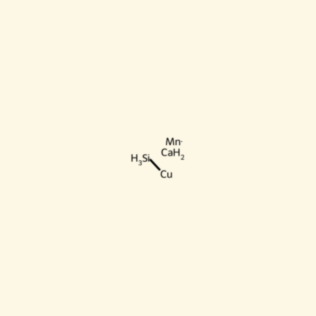 [CaH2].[Mn].[SiH3][Cu]